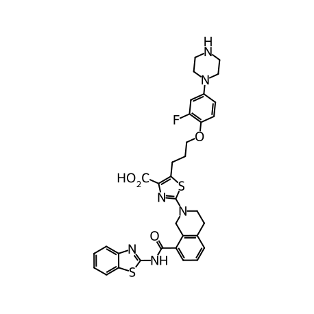 O=C(Nc1nc2ccccc2s1)c1cccc2c1CN(c1nc(C(=O)O)c(CCCOc3ccc(N4CCNCC4)cc3F)s1)CC2